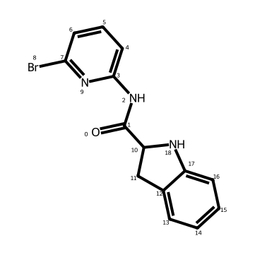 O=C(Nc1cccc(Br)n1)C1Cc2ccccc2N1